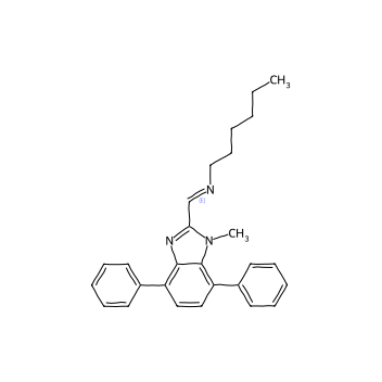 CCCCCC/N=C/c1nc2c(-c3ccccc3)ccc(-c3ccccc3)c2n1C